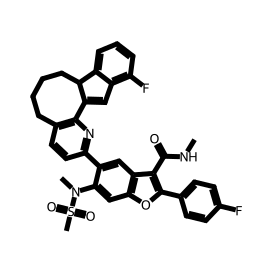 CNC(=O)c1c(-c2ccc(F)cc2)oc2cc(N(C)S(C)(=O)=O)c(-c3ccc4c(n3)C3=Cc5c(F)cccc5C3CCCC4)cc12